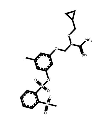 Cc1cc(OCN(OCC2CC2)C(=N)N)cc(OS(=O)(=O)c2ccccc2S(C)(=O)=O)c1